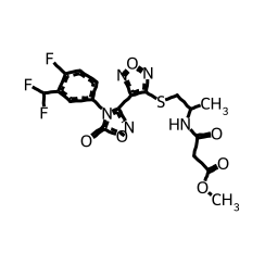 COC(=O)CC(=O)NC(C)CSc1nonc1-c1noc(=O)n1-c1ccc(F)c(C(F)F)c1